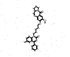 COc1cc2c(cc1OCCCCCn1c(=O)nc(-c3ccccc3)c3cc(C)ccc31)N=CC1CCCN1C2=O